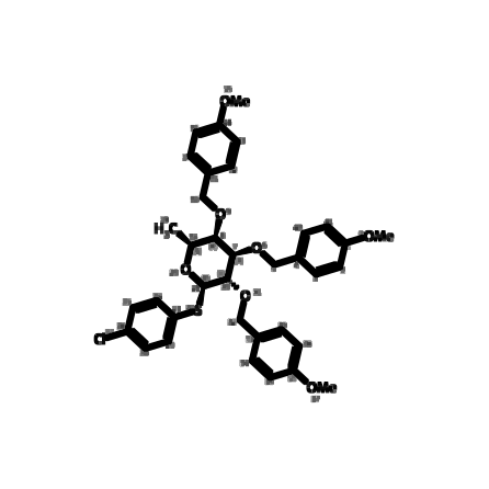 COc1ccc(CO[C@@H]2[C@H](OCc3ccc(OC)cc3)[C@H](C)O[C@H](Sc3ccc(Cl)cc3)[C@H]2OCc2ccc(OC)cc2)cc1